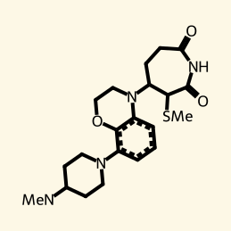 CNC1CCN(c2cccc3c2OCCN3C2CCC(=O)NC(=O)C2SC)CC1